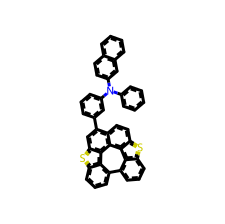 c1ccc(N(c2cccc(-c3cc4sc5cccc6c5c4c4c3ccc3sc5cccc-6c5c34)c2)c2ccc3ccccc3c2)cc1